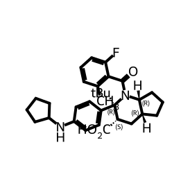 Cc1cccc(F)c1C(=O)N1[C@@H]2CCC[C@@H]2C[C@H](C(=O)O)[C@]1(c1ccc(NC2CCCC2)cc1)C(C)(C)C